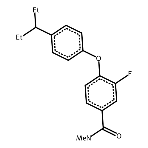 CCC(CC)c1ccc(Oc2ccc(C(=O)NC)cc2F)cc1